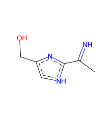 CC(=N)c1nc(CO)c[nH]1